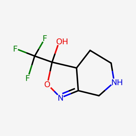 OC1(C(F)(F)F)ON=C2CNCCC21